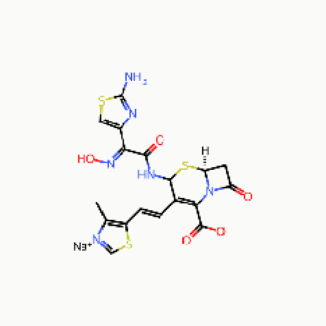 Cc1ncsc1C=CC1=C(C(=O)[O-])N2C(=O)C[C@@H]2SC1NC(=O)C(=NO)c1csc(N)n1.[Na+]